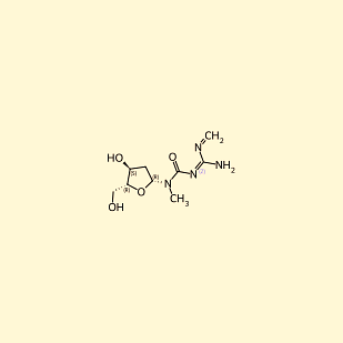 C=N/C(N)=N\C(=O)N(C)[C@H]1C[C@H](O)[C@@H](CO)O1